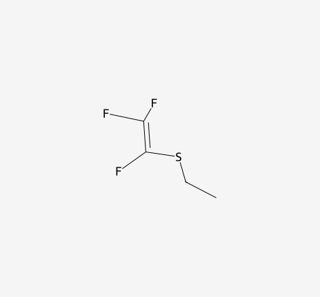 CCSC(F)=C(F)F